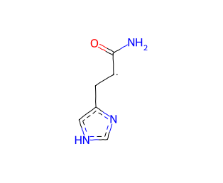 NC(=O)[CH]Cc1c[nH]cn1